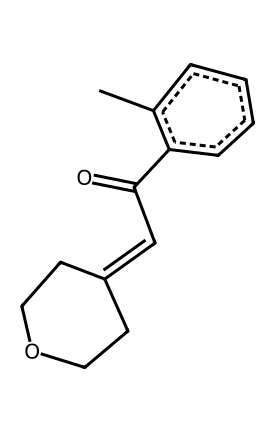 Cc1ccccc1C(=O)C=C1CCOCC1